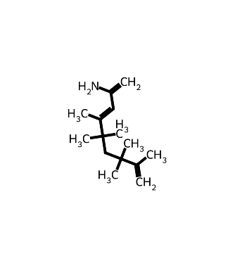 C=C(N)/C=C(\C)C(C)(C)CC(C)(C)C(=C)C